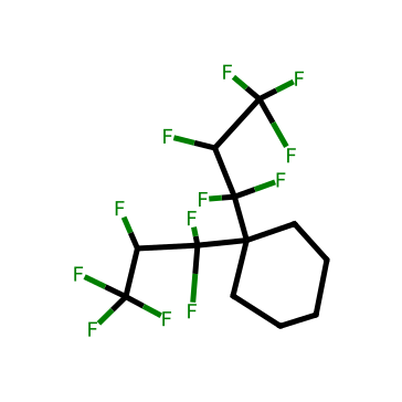 FC(C(F)(F)F)C(F)(F)C1(C(F)(F)C(F)C(F)(F)F)CCCCC1